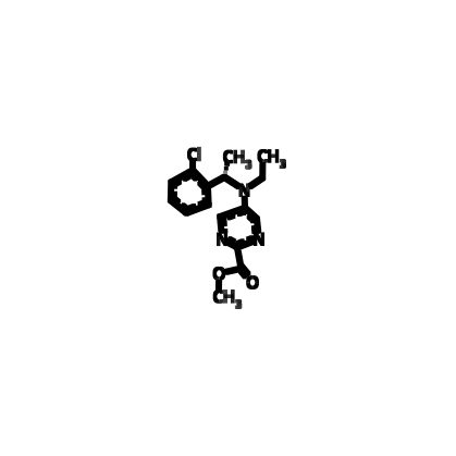 CCN(c1cnc(C(=O)OC)nc1)[C@@H](C)c1ccccc1Cl